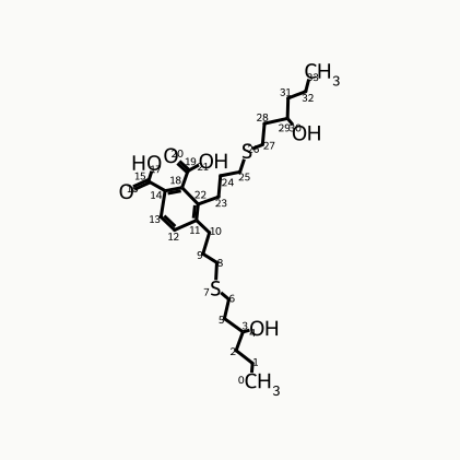 CCCC(O)CCSCCCc1ccc(C(=O)O)c(C(=O)O)c1CCCSCCC(O)CCC